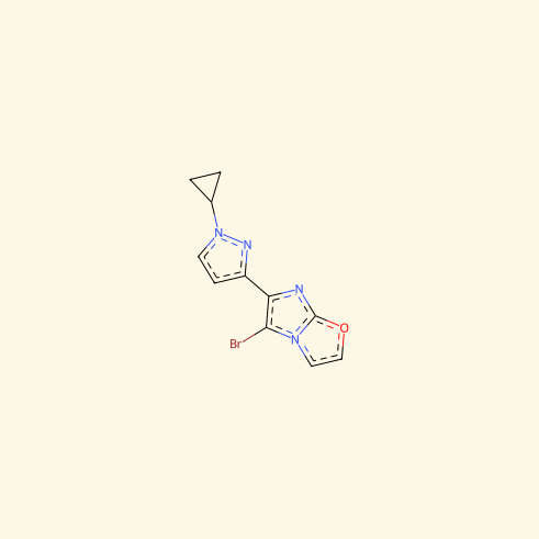 Brc1c(-c2ccn(C3CC3)n2)nc2occn12